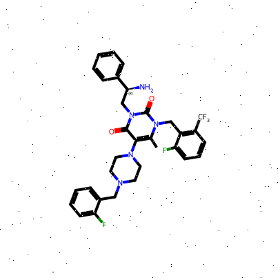 Cc1c(N2CCN(Cc3ccccc3F)CC2)c(=O)n(C[C@H](N)c2ccccc2)c(=O)n1Cc1c(F)cccc1C(F)(F)F